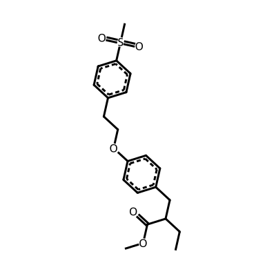 CCC(Cc1ccc(OCCc2ccc(S(C)(=O)=O)cc2)cc1)C(=O)OC